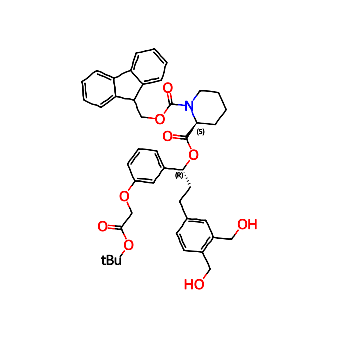 CC(C)(C)OC(=O)COc1cccc([C@@H](CCc2ccc(CO)c(CO)c2)OC(=O)[C@@H]2CCCCN2C(=O)OCC2c3ccccc3-c3ccccc32)c1